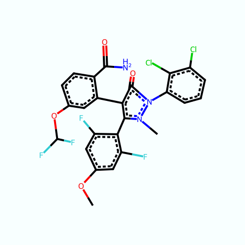 COc1cc(F)c(-c2c(-c3cc(OC(F)F)ccc3C(N)=O)c(=O)n(-c3cccc(Cl)c3Cl)n2C)c(F)c1